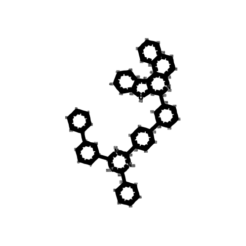 c1ccc(-c2cccc(-c3nc(-c4ccccc4)nc(-c4ccc(-c5cccc(-c6nc7ccc8ccccc8c7c7c6oc6ccccc67)c5)cc4)n3)c2)cc1